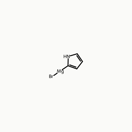 [Br][Mg][c]1ccc[nH]1